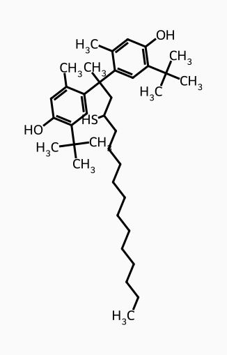 CCCCCCCCCCCCC(S)CC(C)(c1cc(C(C)(C)C)c(O)cc1C)c1cc(C(C)(C)C)c(O)cc1C